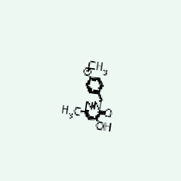 COc1ccc(Cn2nc(C)cc(O)c2=O)cc1